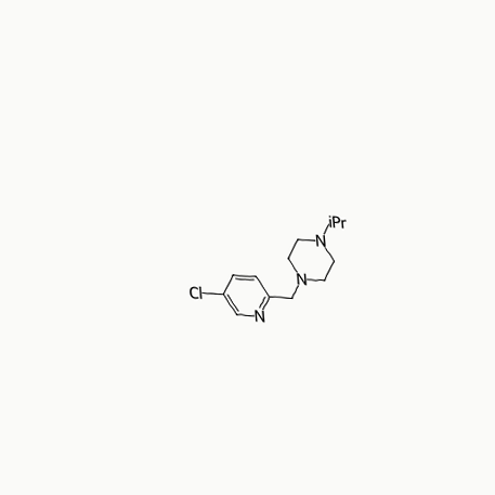 CC(C)N1CCN(Cc2ccc(Cl)cn2)CC1